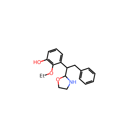 CCOc1c(O)cccc1[C](Cc1ccccc1)C1NCCO1